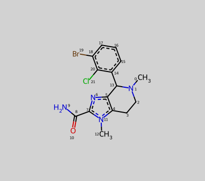 CN1CCc2c(nc(C(N)=O)n2C)C1c1cccc(Br)c1Cl